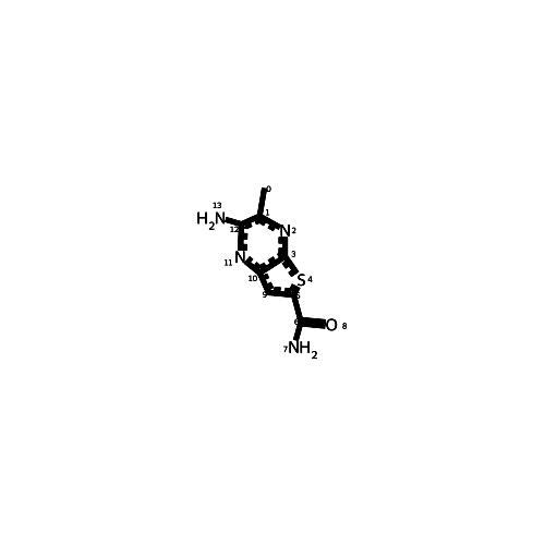 Cc1nc2sc(C(N)=O)cc2nc1N